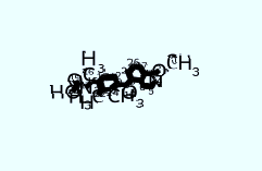 CCOc1nccc2c(C(=O)c3ccc(C(C)NC(=O)O)c(C)c3C)cccc12